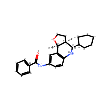 O=C(Nc1ccc2c(c1)[C@H]1OCC[C@H]1[C@@H](C1CCCCC1)N2)c1ccccc1